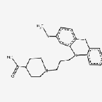 CSc1ccc2c(c1)N(CCCN1CCC(C(=O)O)CC1)c1ccccc1S2